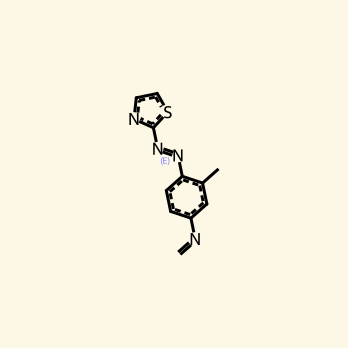 C=Nc1ccc(/N=N/c2nccs2)c(C)c1